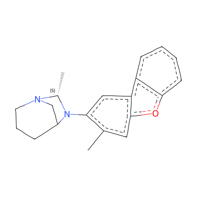 Cc1cc2oc3ccccc3c2cc1N1C2CCCN(C2)[C@@H]1C